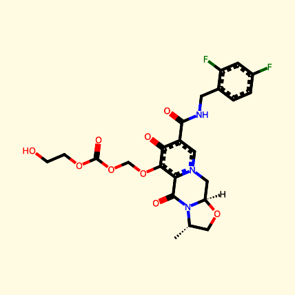 C[C@H]1CO[C@@H]2Cn3cc(C(=O)NCc4ccc(F)cc4F)c(=O)c(OCOC(=O)OCCO)c3C(=O)N12